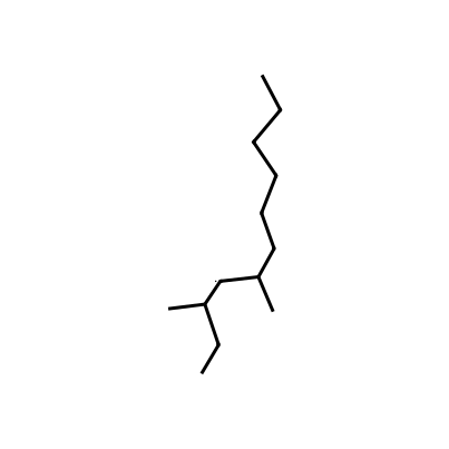 CCCCCCC(C)[CH]C(C)CC